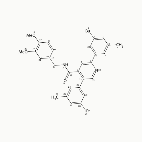 CCC(C)c1cc(C)cc(-c2cc(C(=O)NCc3ccc(OC)c(OC)c3)c(-c3cc(C)cc(C(C)C)c3)cn2)c1